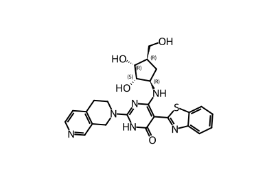 O=c1[nH]c(N2CCc3ccncc3C2)nc(N[C@@H]2C[C@H](CO)[C@@H](O)[C@H]2O)c1-c1nc2ccccc2s1